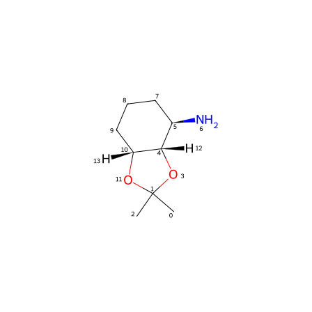 CC1(C)O[C@H]2[C@H](N)CCC[C@H]2O1